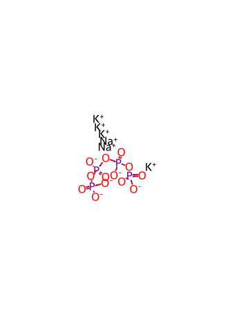 O=P([O-])([O-])OP(=O)([O-])OP(=O)([O-])OP(=O)([O-])[O-].[K+].[K+].[K+].[K+].[Na+].[Na+]